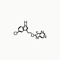 Clc1ccc2[nH]cc(CCOc3nc4cncnc4s3)c2c1